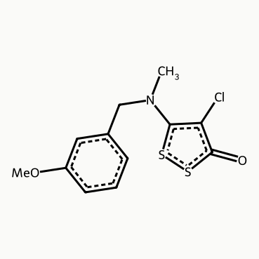 COc1cccc(CN(C)c2ssc(=O)c2Cl)c1